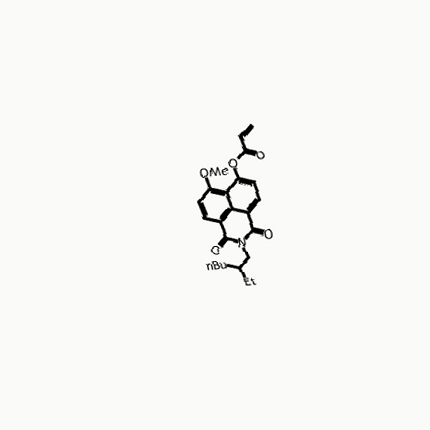 C=CC(=O)Oc1ccc2c3c(ccc(OC)c13)C(=O)N(CC(CC)CCCC)C2=O